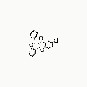 O=C(c1ccccc1)c1c(-c2ccccc2)oc2ccc(Cl)cc2c1=O